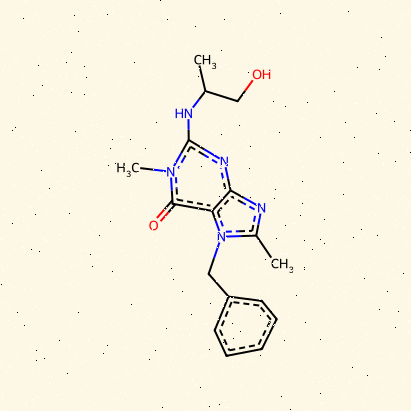 Cc1nc2nc(NC(C)CO)n(C)c(=O)c2n1Cc1ccccc1